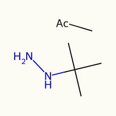 CC(C)(C)NN.CC(C)=O